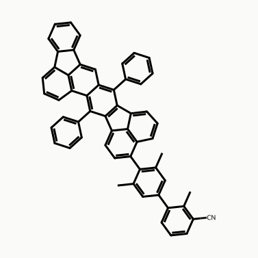 Cc1cc(-c2cccc(C#N)c2C)cc(C)c1-c1ccc2c3c(-c4ccccc4)c4c(cc5c6ccccc6c6cccc4c65)c(-c4ccccc4)c3c3cccc1c32